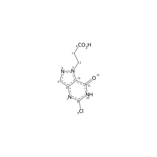 O=C(O)CCn1ncc2nc(Cl)[nH]c(=O)c21